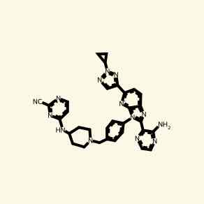 N#Cc1nccc(NC2CCN(Cc3ccc(-n4c(-c5nccnc5N)nc5ccc(-c6cnn(C7CC7)n6)nc54)cc3)CC2)n1